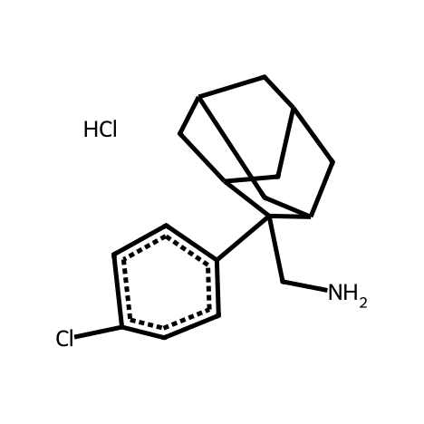 Cl.NCC1(c2ccc(Cl)cc2)C2CC3CC(C2)CC1C3